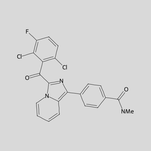 CNC(=O)c1ccc(-c2nc(C(=O)c3c(Cl)ccc(F)c3Cl)n3ccccc23)cc1